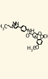 CCCn1cc(-c2ccc(NC(=O)C3CC(=O)N(c4cc(OC)ccc4OC)C3)cc2)nn1